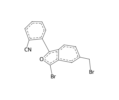 N#Cc1ccccc1-c1oc(Br)c2cc(CBr)ccc12